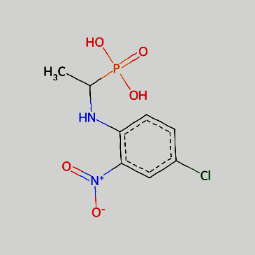 CC(Nc1ccc(Cl)cc1[N+](=O)[O-])P(=O)(O)O